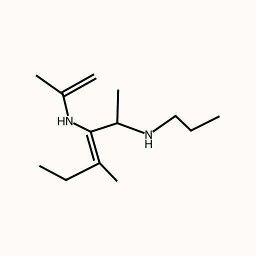 C=C(C)N/C(=C(/C)CC)C(C)NCCC